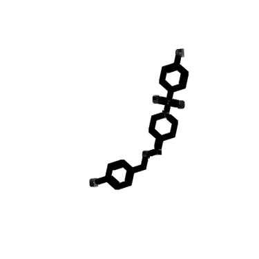 O=S(=O)(C1C=CC(Cl)=CC1)N1CCC(=NOCc2ccc(Cl)cc2)CC1